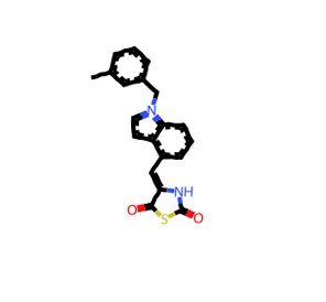 Cc1cccc(Cn2ccc3c(C=C4NC(=O)SC4=O)cccc32)c1